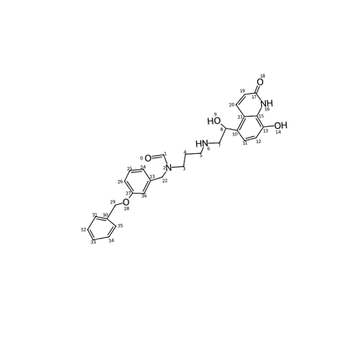 O=CN(CCCNCC(O)c1ccc(O)c2[nH]c(=O)ccc12)Cc1cccc(OCc2ccccc2)c1